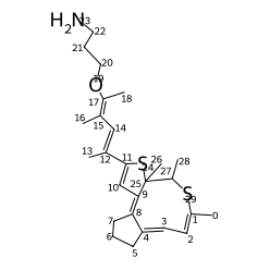 C/C1=C/C=C2\CCC\C2=C2C=C(/C(C)=C/C(C)=C(\C)OCCCN)SC/2(C)C(C)S1